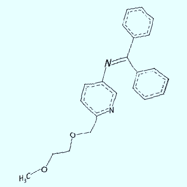 COCCOCc1ccc(N=C(c2ccccc2)c2ccccc2)cn1